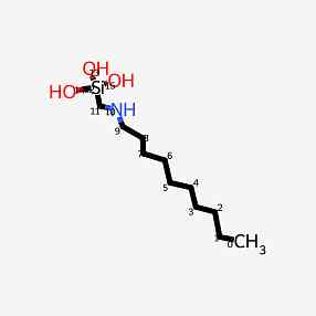 CCCCCCCCCCNC[Si](O)(O)O